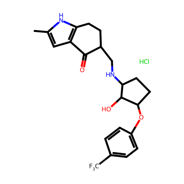 Cc1cc2c([nH]1)CCC(CNC1CCC(Oc3ccc(C(F)(F)F)cc3)C1O)C2=O.Cl